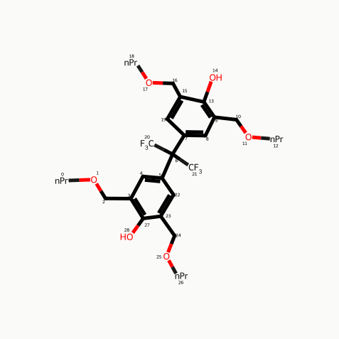 CCCOCc1cc(C(c2cc(COCCC)c(O)c(COCCC)c2)(C(F)(F)F)C(F)(F)F)cc(COCCC)c1O